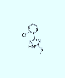 CSc1nc(-c2ccccc2Cl)n[nH]1